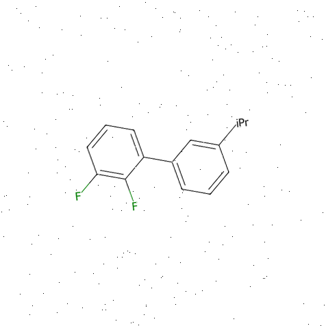 CC(C)c1cccc(-c2cccc(F)c2F)c1